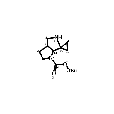 CC(C)(C)OC(=O)N1CCC2CNC3(CC3)C21